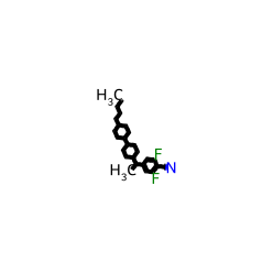 CCCCCC1CCC(C2CCC(C(C)c3cc(F)c(C#N)c(F)c3)CC2)CC1